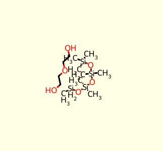 C[SiH2]O[Si](C)(C)O[Si](C)(C)O[Si](C)(C)C.OCCOCCO